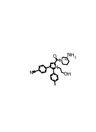 Cc1ccc(-c2c(-c3ccc(C#N)cc3)cc(C(=O)N3CCC[C@@H](N)C3)n2CCO)cc1